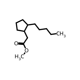 CCCCCC1CCCC1CC(=O)OC